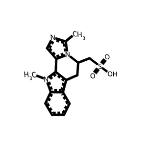 Cc1ncc2n1C(CS(=O)(=O)O)Cc1c-2n(C)c2ccccc12